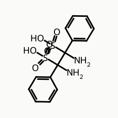 NC(c1ccccc1)(C(N)(c1ccccc1)S(=O)(=O)O)S(=O)(=O)O